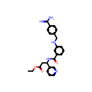 CCOC(=O)CC(NC(=O)c1cccc(NCc2ccc(C(=N)N)cc2)c1)c1cccnc1